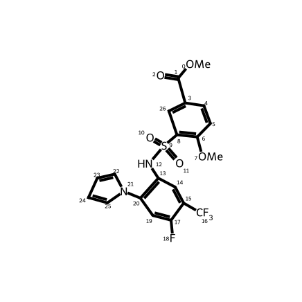 COC(=O)c1ccc(OC)c(S(=O)(=O)Nc2cc(C(F)(F)F)c(F)cc2-n2cccc2)c1